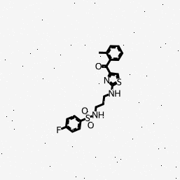 Cc1ccccc1C(=O)c1csc(NCCCNS(=O)(=O)c2ccc(F)cc2)n1